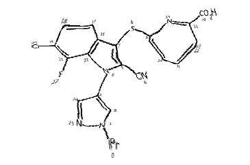 CC(C)n1cc(-n2c(C#N)c(Sc3cccc(C(=O)O)n3)c3ccc(Cl)c(F)c32)cn1